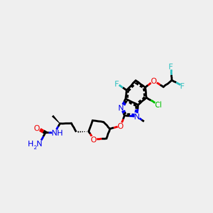 C[C@@H](CC[C@@H]1CCC(Oc2nc3c(F)cc(OCC(F)F)c(Cl)c3n2C)CO1)NC(N)=O